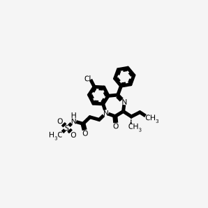 CC[C@H](C)C1N=C(c2ccccc2)c2cc(Cl)ccc2N(CCC(=O)NS(C)(=O)=O)C1=O